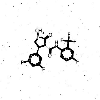 CN1C[C@H](c2cc(F)cc(F)c2)[C@@H](C(=O)Nc2ccc(F)cc2C(F)(F)F)C1=O